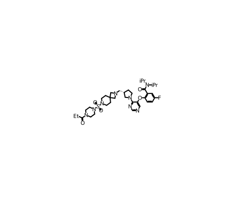 CCC(=O)N1CCN(S(=O)(=O)N2CCC3(CC2)CN(C[C@@H]2CCN(c4ncncc4Oc4ccc(F)cc4C(=O)N(C(C)C)C(C)C)C2)C3)CC1